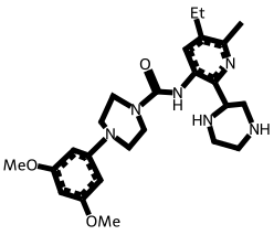 CCc1cc(NC(=O)N2CCN(c3cc(OC)cc(OC)c3)CC2)c(C2CNCCN2)nc1C